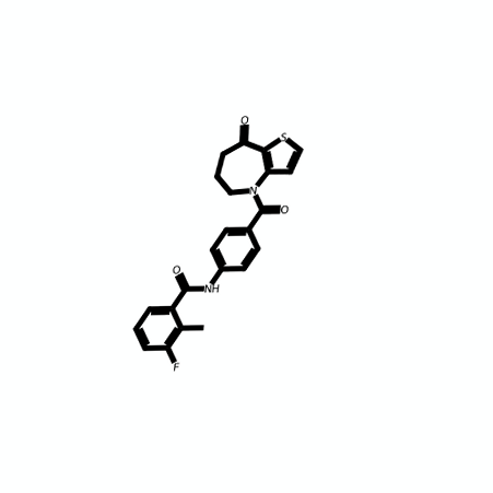 Cc1c(F)cccc1C(=O)Nc1ccc(C(=O)N2CCCC(=O)c3sccc32)cc1